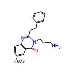 COc1ccc2nc(CCc3ccccc3)n(CCCN)c(=O)c2c1